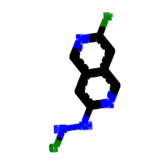 ClNNc1cc2cnc(Br)cc2cn1